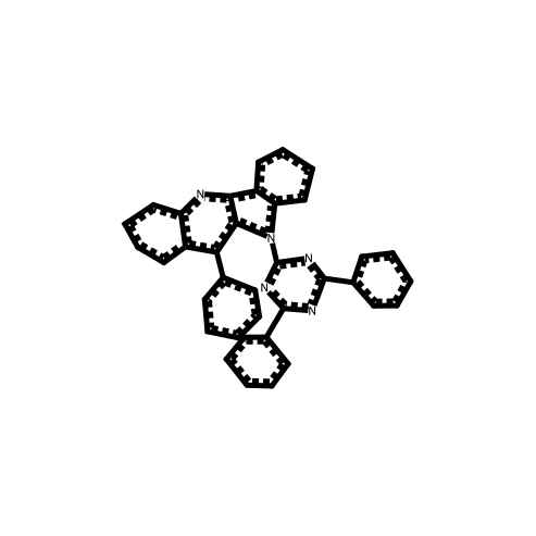 c1ccc(-c2nc(-c3ccccc3)nc(-n3c4ccccc4c4nc5ccccc5c(-c5ccccc5)c43)n2)cc1